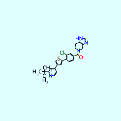 CC(C)(C)c1cc(-c2csc(-c3ccc(C(=O)N4CCc5[nH]cnc5C4)cc3Cl)c2)ccn1